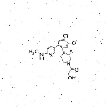 CNc1ccc(-c2cc(Cl)c(Cl)c3sc4c(c23)CCN(C(=O)CO)C4)cn1